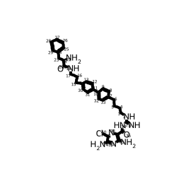 N=C(NCCCCc1ccc(-c2ccc(CCCNC(=O)[C@H](N)Cc3ccccc3)cc2)cc1)NC(=O)c1nc(Cl)c(N)nc1N